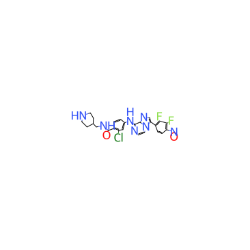 O=Nc1ccc(-c2cnc3c(Nc4ccc(C(=O)NCC5CCNCC5)c(Cl)c4)nccn23)c(F)c1F